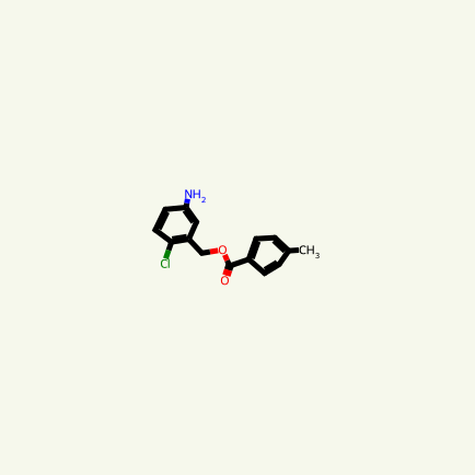 Cc1ccc(C(=O)OCc2cc(N)ccc2Cl)cc1